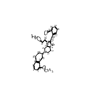 COc1cccc2c1CC(N1CCc3nc(-c4ccccc4Cl)n(CCO)c3C1)CC2